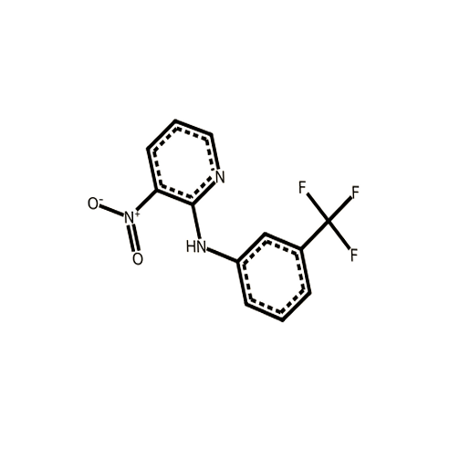 O=[N+]([O-])c1cccnc1Nc1cccc(C(F)(F)F)c1